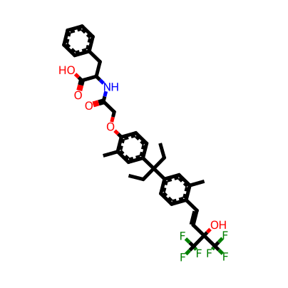 CCC(CC)(c1ccc(C=CC(O)(C(F)(F)F)C(F)(F)F)c(C)c1)c1ccc(OCC(=O)NC(Cc2ccccc2)C(=O)O)c(C)c1